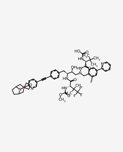 COC(=O)N[C@H](C(=O)N[C@@H](Cc1ccc(C#Cc2ccc(N3CC4CCC(C3)N4C3COC3)nc2)cc1)[C@@H](O)CN(Cc1c(F)cc(-c2ccccn2)cc1F)NC(=O)[C@@H](NC(=O)O)C(C)(C)C)C(C)(C)C(F)(F)F